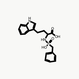 O=C(O)C(CCc1c[nH]c2ccccc12)NP(=O)(O)Cc1ccccc1